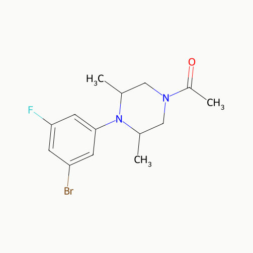 CC(=O)N1CC(C)N(c2cc(F)cc(Br)c2)C(C)C1